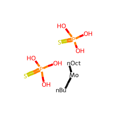 CCCCCCC[CH2][Mo][CH2]CCC.OP(O)(O)=S.OP(O)(O)=S